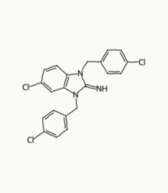 N=c1n(Cc2ccc(Cl)cc2)c2ccc(Cl)cc2n1Cc1ccc(Cl)cc1